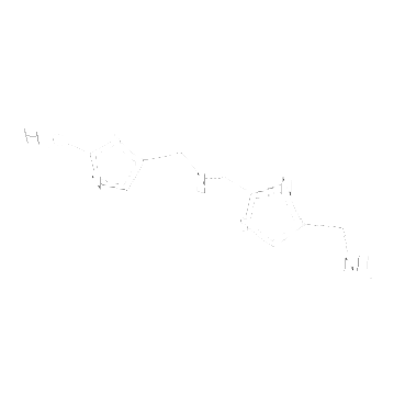 Cc1ncc(CNCc2nc(CN)cs2)s1